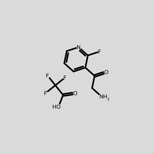 NCC(=O)c1cccnc1F.O=C(O)C(F)(F)F